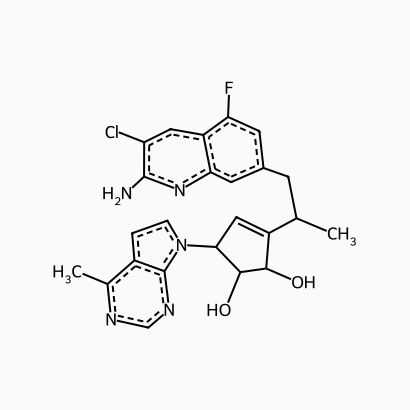 Cc1ncnc2c1ccn2C1C=C(C(C)Cc2cc(F)c3cc(Cl)c(N)nc3c2)C(O)C1O